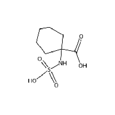 O=C(O)C1(NS(=O)(=O)O)CCCCC1